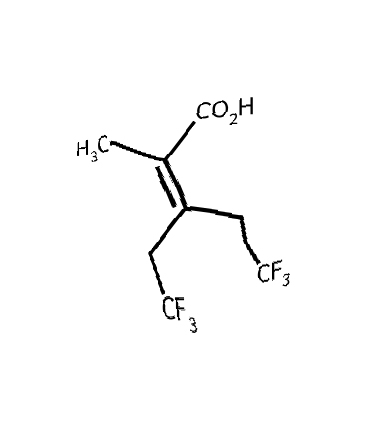 CC(C(=O)O)=C(CC(F)(F)F)CC(F)(F)F